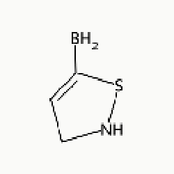 BC1=CCNS1